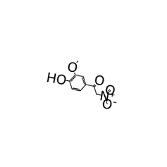 COc1cc(C(=O)C[N+](=O)[O-])ccc1O